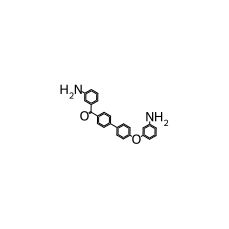 Nc1cccc(Oc2ccc(-c3ccc(C(=O)c4cccc(N)c4)cc3)cc2)c1